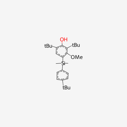 COc1c([Si](C)(C)c2ccc(C(C)(C)C)cc2)cc(C(C)(C)C)c(O)c1C(C)(C)C